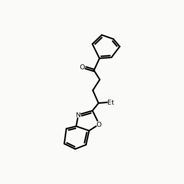 CCC(CCC(=O)c1ccccc1)c1nc2ccccc2o1